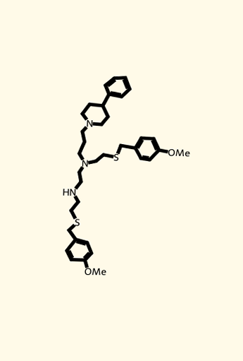 COc1ccc(CSCCNCCN(CCCN2CCC(c3ccccc3)CC2)CCSCc2ccc(OC)cc2)cc1